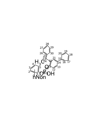 CCCCCCCCCc1ccccc1OP(O)Oc1ccc(-c2ccccc2)cc1C(C)c1ccccc1